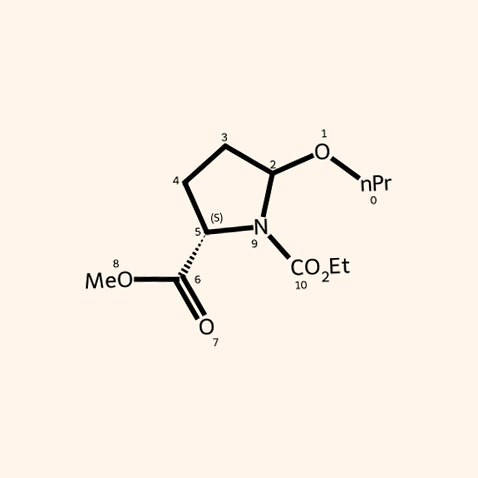 CCCOC1CC[C@@H](C(=O)OC)N1C(=O)OCC